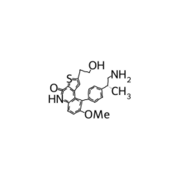 COc1ccc2[nH]c(=O)c3sc(CCO)cc3c2c1-c1ccc([C@@H](C)CN)cc1